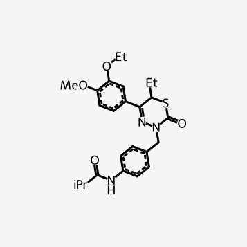 CCOc1cc(C2=NN(Cc3ccc(NC(=O)C(C)C)cc3)C(=O)SC2CC)ccc1OC